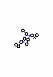 CC1(C)c2ccccc2-c2ccc(N(c3ccc(-c4ccccc4)cc3)c3ccc(-c4ccccc4-n4c5ccccc5c5ccc(-c6cccc7ccccc67)cc54)cc3)cc21